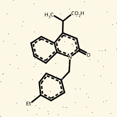 CCc1ccc(Cn2c(=O)cc(C(C)C(=O)O)c3ccccc32)cc1